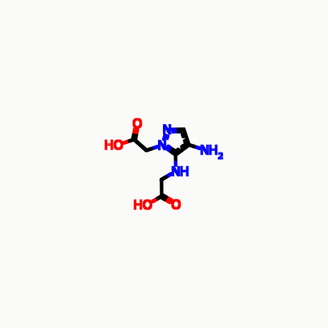 Nc1cnn(CC(=O)O)c1NCC(=O)O